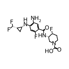 Nc1cc(C(=O)N[C@H]2CN(C(=O)O)CC[C@@H]2F)c(F)cc1N[C@@H]1C[C@@H]1C(F)F